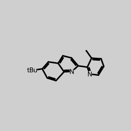 Cc1cccnc1-c1ccc2cc(C(C)(C)C)ccc2n1